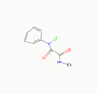 CCNC(=O)C(=O)N(Cl)c1ccccc1